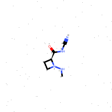 CNN1CC[C@H]1C(=O)NC#N